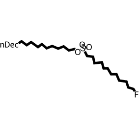 CCCCCCCCCCCCCCCCCCCCCOS(=O)(=O)CCCCCCCCCCCCF